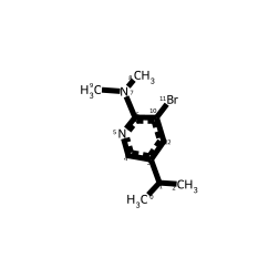 CC(C)c1cnc(N(C)C)c(Br)c1